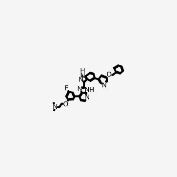 CN(C)CCOc1cc(F)cc(-c2ccnc3[nH]c(-c4n[nH]c5ccc(-c6cncc(OCc7ccccc7)c6)cc45)nc23)c1